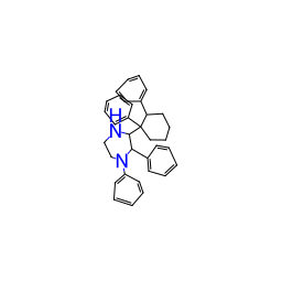 c1ccc(C2C(C3(c4ccccc4)CCCCC3c3ccccc3)NCCN2c2ccccc2)cc1